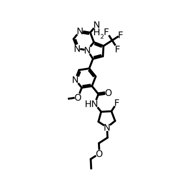 CCOCCN1CC(F)C(NC(=O)c2cc(-c3cc(C(F)(F)F)c4c(N)ncnn34)cnc2OC)C1